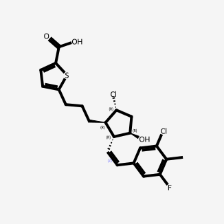 Cc1c(F)cc(/C=C\[C@@H]2[C@@H](CCCc3ccc(C(=O)O)s3)[C@H](Cl)C[C@H]2O)cc1Cl